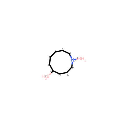 BC1CCCCCN(B)CCC1